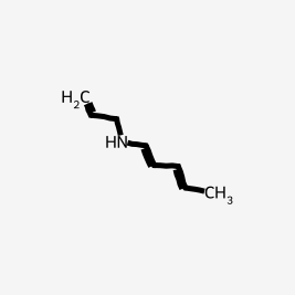 C=CCNC=C/C=C/C